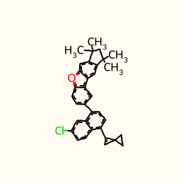 CC1(C)CC(C)(C)c2cc3c(cc21)oc1ccc(-c2ccc(C4=CC45CC5)c4ccc(Cl)cc24)cc13